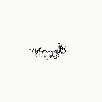 CN(C)C(=O)C=CCCC(NC(=O)c1nccn1C)C(N)=O